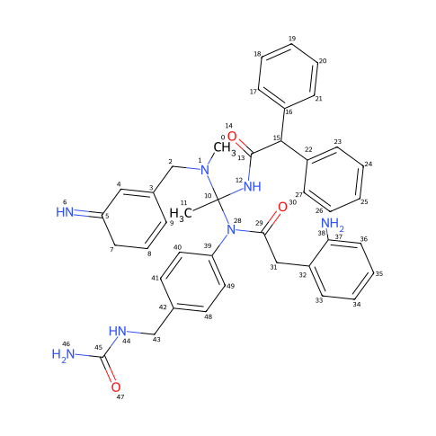 CN(CC1=CC(=N)CC=C1)C(C)(NC(=O)C(c1ccccc1)c1ccccc1)N(C(=O)Cc1ccccc1N)c1ccc(CNC(N)=O)cc1